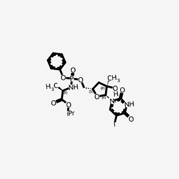 CC(C)OC(=O)[C@@H](C)NP(=O)(OC[C@@H]1C[C@@](C)(O)[C@H](n2cc(I)c(=O)[nH]c2=O)O1)Oc1ccccc1